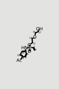 C=CP(=O)(Nc1ccc(C(C)=O)cc1)OCCOCCO